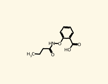 CCCC(=O)NOc1ccccc1C(=O)O